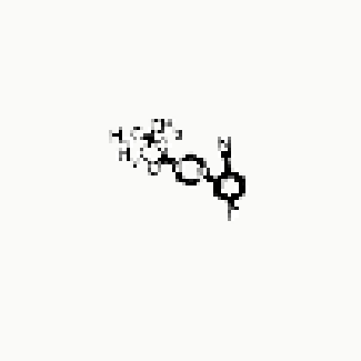 CC(C)(C)OC(=O)N1CCN(c2cc(F)ccc2C#N)CC1